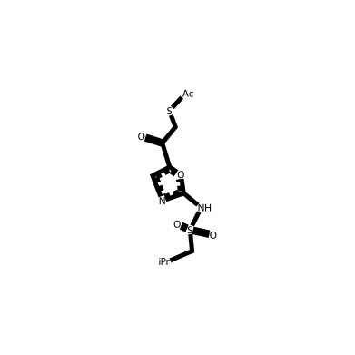 CC(=O)SCC(=O)c1cnc(NS(=O)(=O)CC(C)C)o1